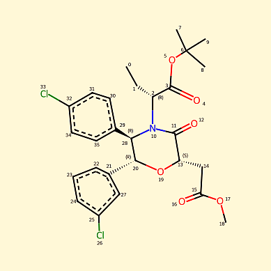 CC[C@H](C(=O)OC(C)(C)C)N1C(=O)[C@H](CC(=O)OC)O[C@H](c2cccc(Cl)c2)[C@H]1c1ccc(Cl)cc1